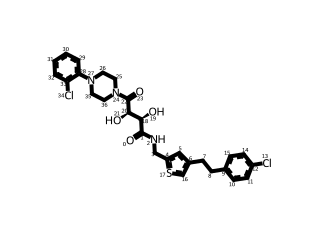 O=C(NCc1cc(CCc2ccc(Cl)cc2)cs1)[C@H](O)[C@@H](O)C(=O)N1CCN(c2ccccc2Cl)CC1